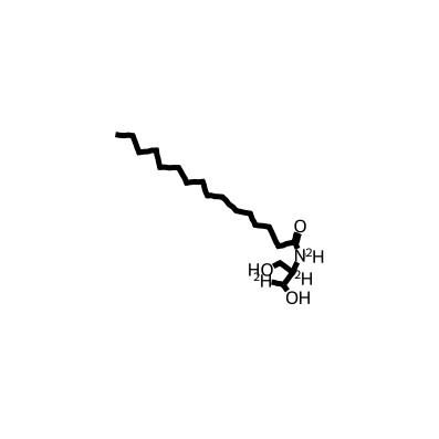 [2H]C(O)[C@@]([2H])(CO)N([2H])C(=O)CCCCCCCCCCCCCCC